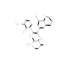 N#Cc1cccc(-c2nc3[nH]ccc(=O)c3nc2-c2cc(Cl)c3ncccc3c2)c1F